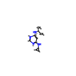 CC(C)Nc1cc(NC2CC2)ncn1